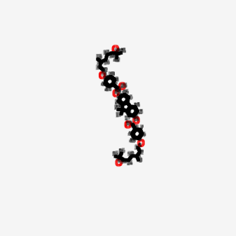 CC(CCOc1ccc(C(=O)Oc2ccc3c(c2)C(C)(C)c2cc(OC(=O)c4ccc(OCCC(C)CCC5OC5(C)C)cc4)ccc2-3)cc1)CCC1OC1(C)C